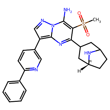 CS(=O)(=O)c1c(C2CC3CC[C@H](C2)N3)nc2c(-c3ccc(-c4ccccc4)nc3)cnn2c1N